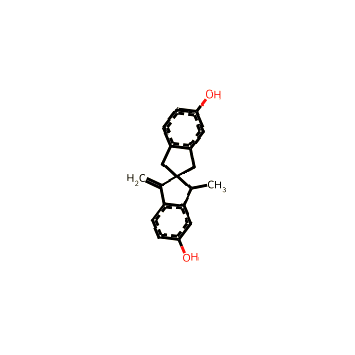 C=C1c2ccc(O)cc2C(C)C12Cc1ccc(O)cc1C2